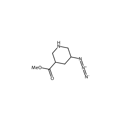 COC(=O)C1CNCC(N=[N+]=[N-])C1